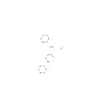 O=C(O)C[C@@H](Cc1ccccc1)C(=O)Nc1ccc(-c2ccccc2Cl)nn1